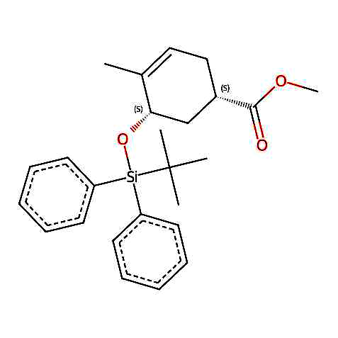 COC(=O)[C@H]1CC=C(C)[C@@H](O[Si](c2ccccc2)(c2ccccc2)C(C)(C)C)C1